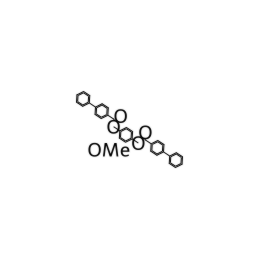 COc1cc(OC(=O)c2ccc(-c3ccccc3)cc2)ccc1OC(=O)c1ccc(-c2ccccc2)cc1